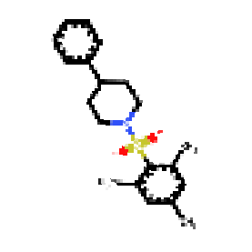 Cc1cc(C)c(S(=O)(=O)N2CCC(c3ccccc3)CC2)c(C)c1